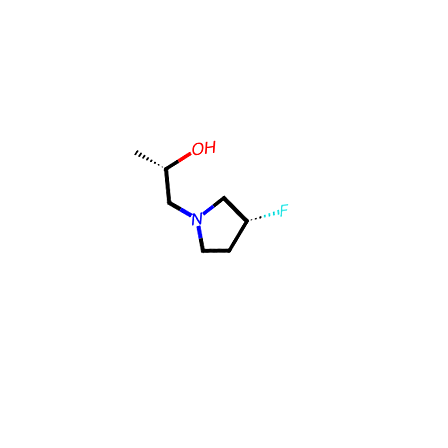 C[C@H](O)CN1CC[C@@H](F)C1